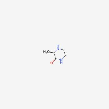 C[C@H]1NCCNC1=O